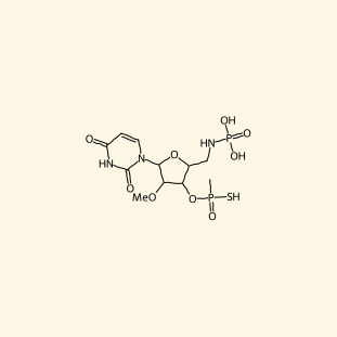 COC1C(OP(C)(=O)S)C(CNP(=O)(O)O)OC1n1ccc(=O)[nH]c1=O